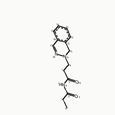 CCC(=O)NC(=O)CCN1Cc2ccccc2C=N1